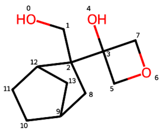 OCC1(C2(O)COC2)CC2CCC1C2